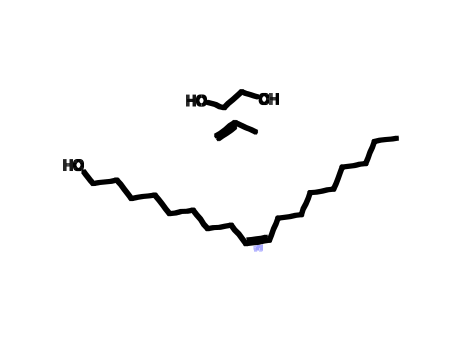 C=CC.CCCCCCCC/C=C\CCCCCCCCO.OCCO